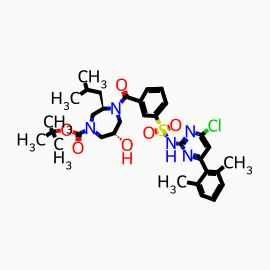 Cc1cccc(C)c1-c1cc(Cl)nc(NS(=O)(=O)c2cccc(C(=O)N3C[C@H](O)CN(C(=O)OC(C)(C)C)C[C@H]3CC(C)C)c2)n1